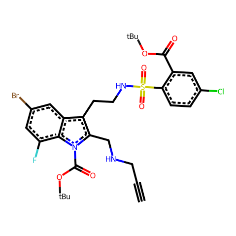 C#CCNCc1c(CCNS(=O)(=O)c2ccc(Cl)cc2C(=O)OC(C)(C)C)c2cc(Br)cc(F)c2n1C(=O)OC(C)(C)C